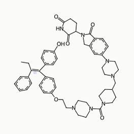 CC/C(=C(\c1ccc(O)cc1)c1ccc(OCCN2CCN(C(=O)N3CCC(CN4CCN(c5ccc6c(c5)CN(C5CCC(=O)NC5=O)C6=O)CC4)CC3)CC2)cc1)c1ccccc1